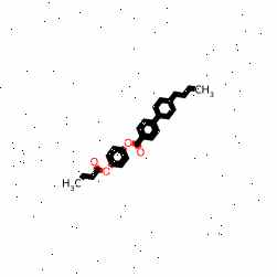 CCCCC1CCC(c2ccc(C(=O)Oc3ccc(OC(=O)CCC)cc3)cc2)CC1